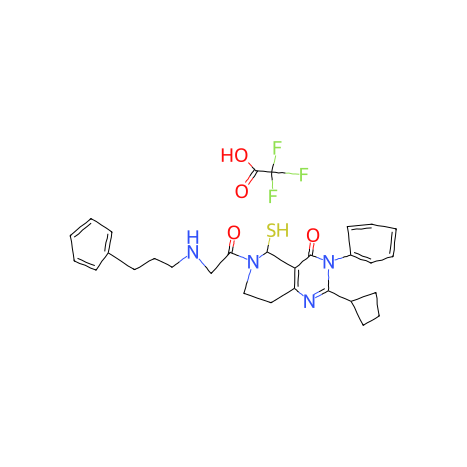 O=C(CNCCCc1ccccc1)N1CCc2nc(C3CCC3)n(-c3ccccc3)c(=O)c2C1S.O=C(O)C(F)(F)F